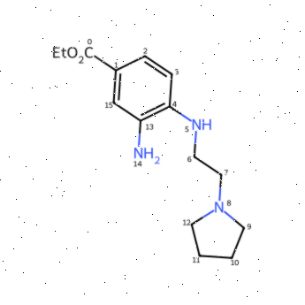 CCOC(=O)c1ccc(NCCN2CCCC2)c(N)c1